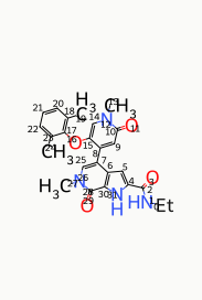 CCNC(=O)c1cc2c(-c3cc(=O)n(C)cc3Oc3c(C)cccc3C)cn(C)c(=O)c2[nH]1